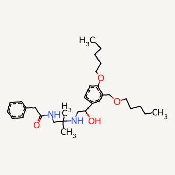 CCCCCOCc1cc(C(O)CNC(C)(C)CNC(=O)Cc2ccccc2)ccc1OCCCCC